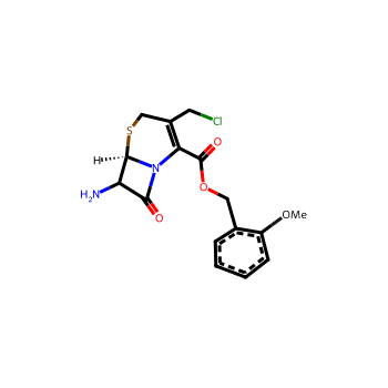 COc1ccccc1COC(=O)C1=C(CCl)CS[C@@H]2C(N)C(=O)N12